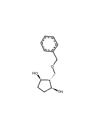 O[C@@H]1CC[C@H](O)[C@H]1COCc1ccccc1